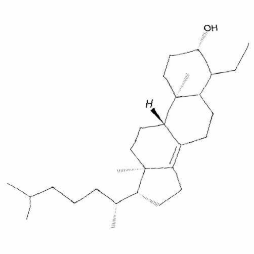 CCC1C2CCC3=C4CC[C@H]([C@H](C)CCCC(C)C)[C@@]4(C)CC[C@@H]3[C@@]2(C)CC[C@@H]1O